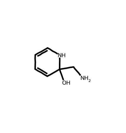 NCC1(O)C=CC=CN1